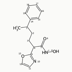 CC(CCC(C(=O)NO)c1ncco1)c1ccccc1